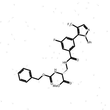 CCCn1ncc(C(F)(F)F)c1-c1cc(F)cc(C(=O)NC[C@@H](NC(=O)OCc2ccccc2)C(=O)OC)c1